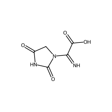 N=C(C(=O)O)N1CC(=O)NC1=O